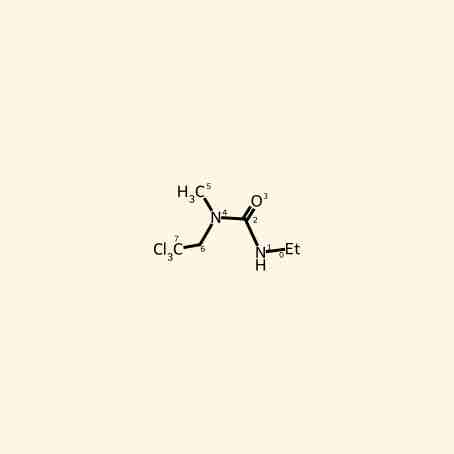 CCNC(=O)N(C)CC(Cl)(Cl)Cl